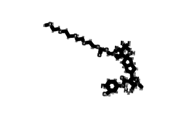 COCCOCCOCCOCCOC(=O)OCn1cc(C2(O)CC3CC(c4nn(C)c(N)c4C(=O)Nc4ccc(F)c(Cl)c4)CC3C2)c(C(F)(F)F)n1